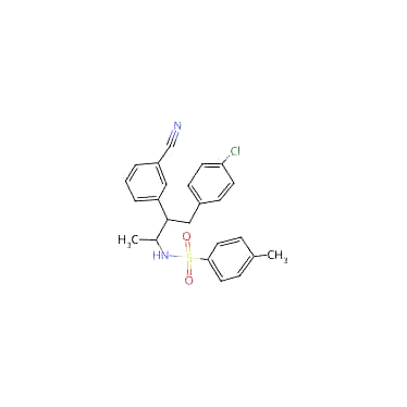 Cc1ccc(S(=O)(=O)NC(C)C(Cc2ccc(Cl)cc2)c2cccc(C#N)c2)cc1